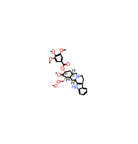 COOC[C@H]1[C@H]2C[C@@H]3c4[nH]c5ccccc5c4CCN3C[C@H]2C[C@@H](OC(=O)c2cc(OC)c(OC)c(OC)c2)[C@@H]1OC